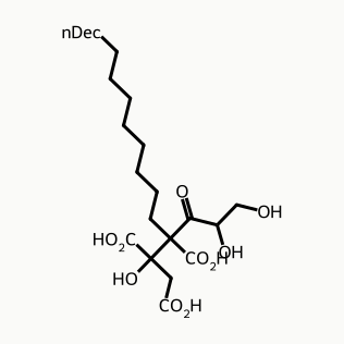 CCCCCCCCCCCCCCCCCCC(C(=O)O)(C(=O)C(O)CO)C(O)(CC(=O)O)C(=O)O